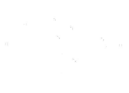 C#Cc1ccc2nc(Nc3cc(NC(C)=O)cc(NC(C)=O)c3)ncc2c1Cl